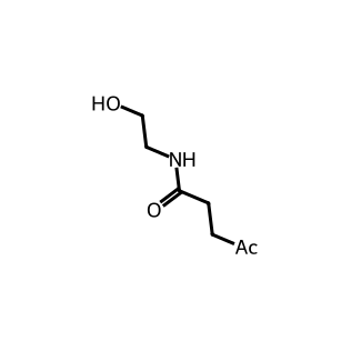 CC(=O)CCC(=O)NCCO